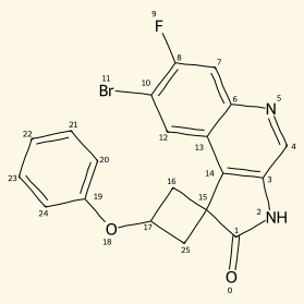 O=C1Nc2cnc3cc(F)c(Br)cc3c2C12CC(Oc1ccccc1)C2